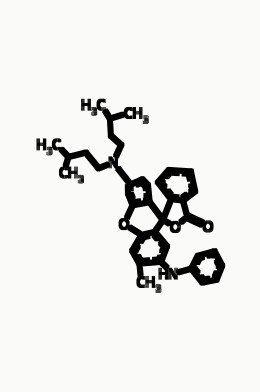 Cc1cc2c(cc1Nc1ccccc1)C1(OC(=O)c3ccccc31)c1ccc(N(CCC(C)C)CCC(C)C)cc1O2